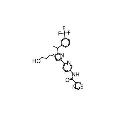 CC(c1cccc(C(F)(F)F)c1)c1nc(-c2ccc(NC(=O)c3cscn3)cn2)cn1CCCO